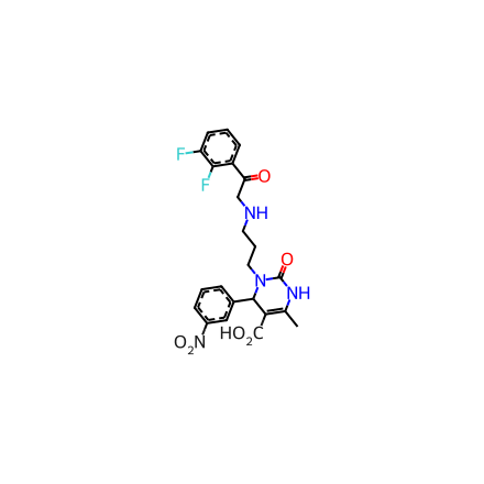 CC1=C(C(=O)O)C(c2cccc([N+](=O)[O-])c2)N(CCCNCC(=O)c2cccc(F)c2F)C(=O)N1